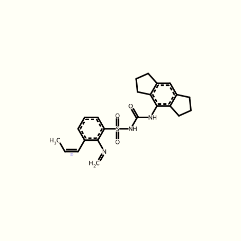 C=Nc1c(/C=C\C)cccc1S(=O)(=O)NC(=O)Nc1c2c(cc3c1CCC3)CCC2